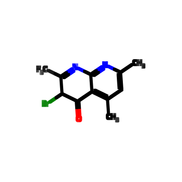 Cc1cc(C)c2c(n1)N=C(C(F)(F)F)C(Br)C2=O